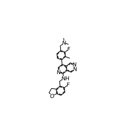 Cc1c(-c2cnc(NCc3c(F)ccc4c3CCO4)c3cnncc23)ccc(CN(C)C)c1F